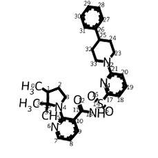 CC1CCN(c2ncccc2C(=O)NS(=O)(=O)c2cccc(N3CCC(c4ccccc4)CC3)n2)C1(C)C